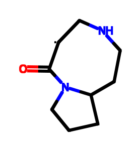 O=C1[CH]CNCCC2CCCN12